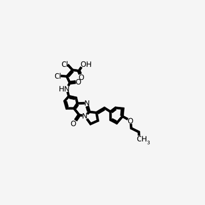 CCCOc1ccc(/C=C2\CCn3c2nc2cc(NC(=O)/C(Cl)=C(/Cl)C(=O)O)ccc2c3=O)cc1